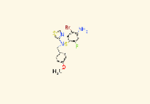 COc1ccc(CN(Sc2cc(Br)c(N)cc2F)c2cscn2)cc1